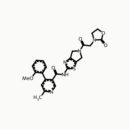 COc1ccccc1-c1cc(C)ncc1C(=O)Nc1nc2c(s1)CN(C(=O)CN1CCOC1=O)C2